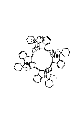 CC1(Nc2ccccc2C2=C3C=CC(=N3)C(c3ccccc3NC3(C)CCCCC3)=C3C=C(C=O)C(=N3)C(c3ccccc3NC3(C)CCCCC3)=C3C=CC(=N3)C(c3ccccc3NC3(C)CCCCC3)=C3C=CC2=N3)CCCCC1